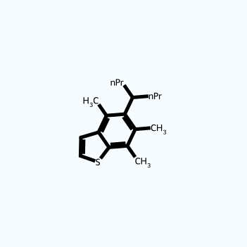 CCCC(CCC)c1c(C)c(C)c2sccc2c1C